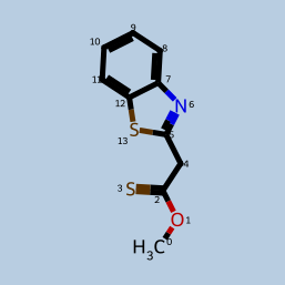 COC(=S)Cc1nc2ccccc2s1